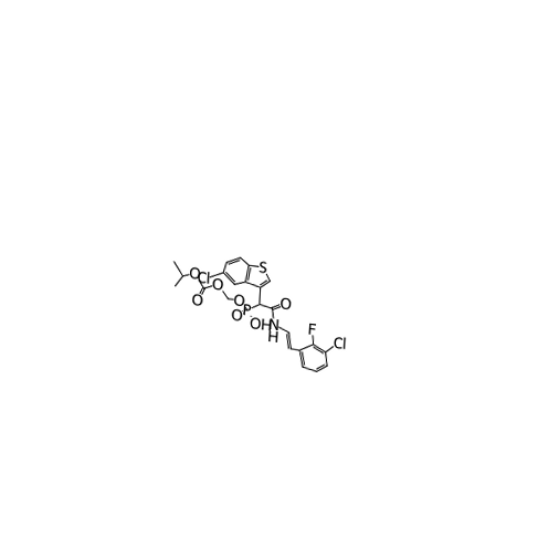 CC(C)OC(=O)OCOP(=O)(O)C(C(=O)N/C=C/c1cccc(Cl)c1F)c1csc2ccc(Cl)cc12